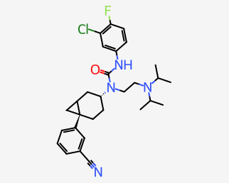 CC(C)N(CCN(C(=O)Nc1ccc(F)c(Cl)c1)[C@@H]1CC[C@]2(c3cccc(C#N)c3)CC2C1)C(C)C